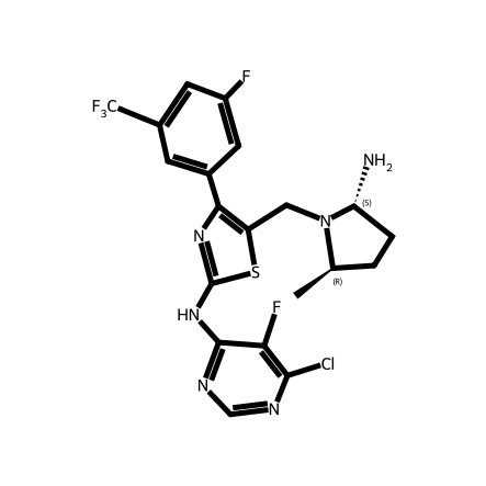 C[C@@H]1CC[C@@H](N)N1Cc1sc(Nc2ncnc(Cl)c2F)nc1-c1cc(F)cc(C(F)(F)F)c1